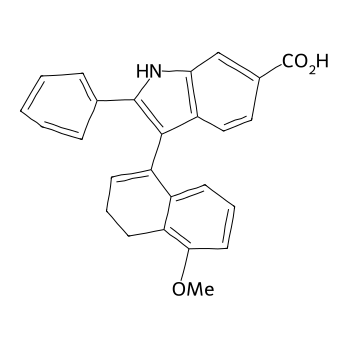 COc1cccc2c1CCC=C2c1c(-c2ccccc2)[nH]c2cc(C(=O)O)ccc12